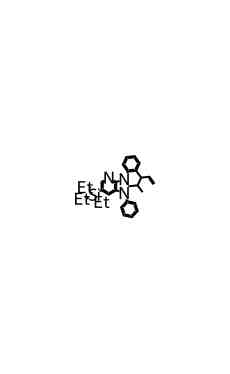 C=CC1c2ccccc2N2c3ncc([Si](CC)(CC)CC)cc3N(c3ccccc3)C2C1C